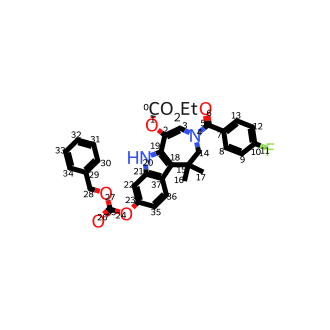 CCOC(=O)OC1=CN(C(=O)c2ccc(F)cc2)CC(C)(C)c2c1[nH]c1cc(OC(=O)OCc3ccccc3)ccc21